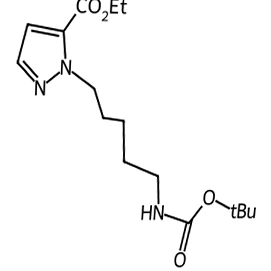 CCOC(=O)c1ccnn1CCCCCNC(=O)OC(C)(C)C